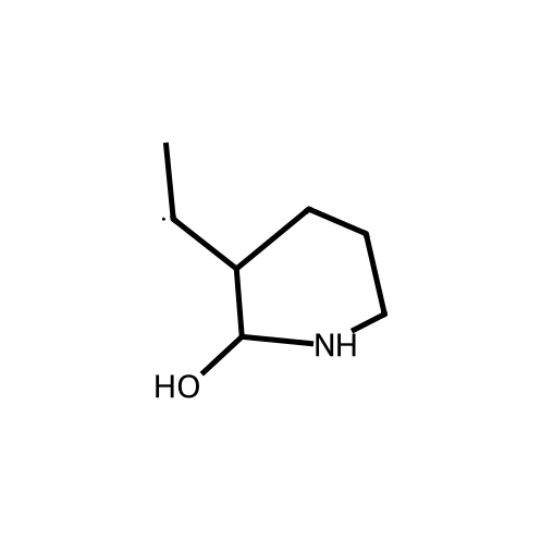 C[CH]C1CCCNC1O